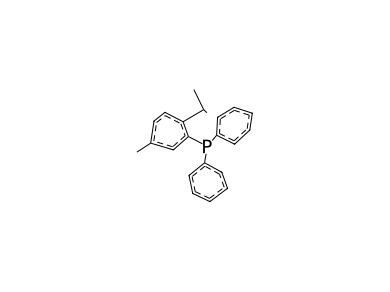 Cc1ccc(C(C)C)c(P(c2ccccc2)c2ccccc2)c1